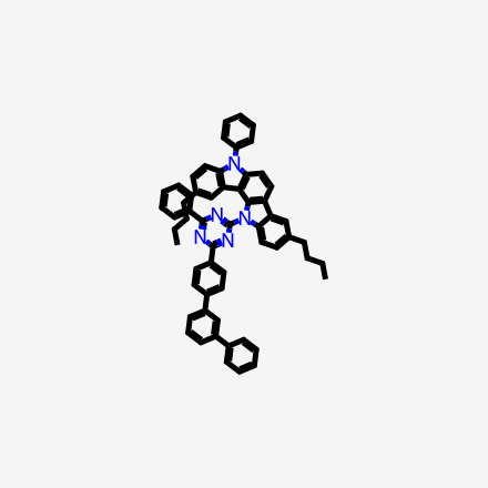 CCCCc1ccc2c(c1)c1c(ccc3c4cc(CCCC)ccc4n(-c4nc(-c5ccccc5)nc(-c5ccc(-c6cccc(-c7ccccc7)c6)cc5)n4)c31)n2-c1ccccc1